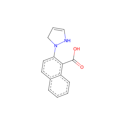 O=C(O)c1c(N2CC=CN2)ccc2ccccc12